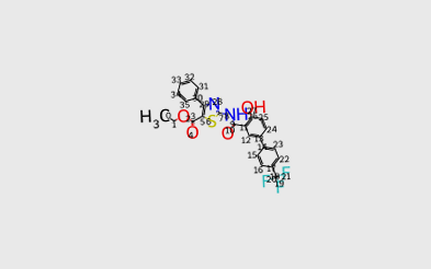 CCOC(=O)c1sc(NC(=O)c2cc(-c3ccc(C(F)(F)F)cc3)ccc2O)nc1-c1ccccc1